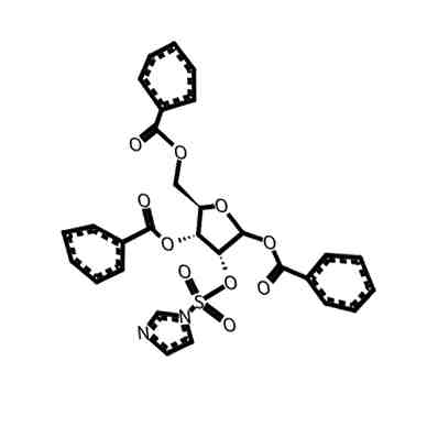 O=C(OC[C@H]1OC(OC(=O)c2ccccc2)[C@H](OS(=O)(=O)n2ccnc2)[C@@H]1OC(=O)c1ccccc1)c1ccccc1